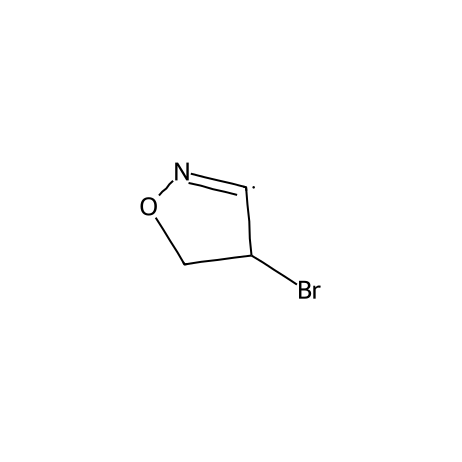 BrC1[C]=NOC1